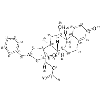 CC(=O)OCC(=O)[C@@]12CN(Cc3ccccc3)C[C@@H]1C[C@H]1[C@@H]3CCC4=CC(=O)C=C[C@]4(C)[C@H]3[C@@H](O)C[C@@]12C